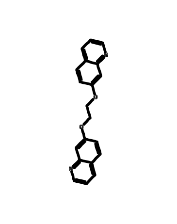 c1cnc2cc(OCCOc3ccc4cccnc4c3)ccc2c1